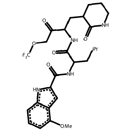 COc1cccc2[nH]c(C(=O)NC(CC(C)C)C(=O)NC(CC3CCCNC3=O)C(=O)COC(F)(F)F)cc12